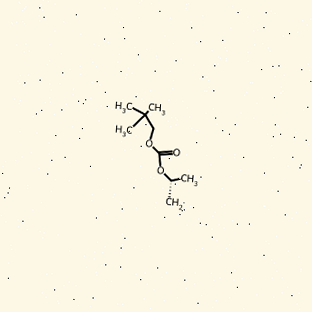 [CH2][C@@H](C)OC(=O)OCC(C)(C)C